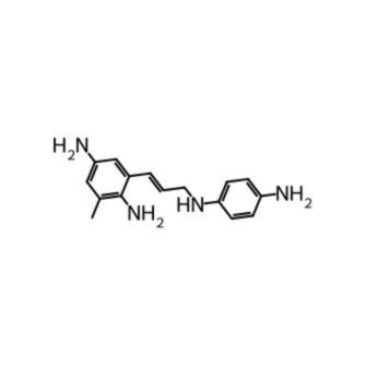 Cc1cc(N)cc(C=CCNc2ccc(N)cc2)c1N